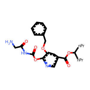 CCCC(CCC)OC(=O)c1cnc(OC(=O)NC(=O)CN)c(OCc2ccccc2)c1